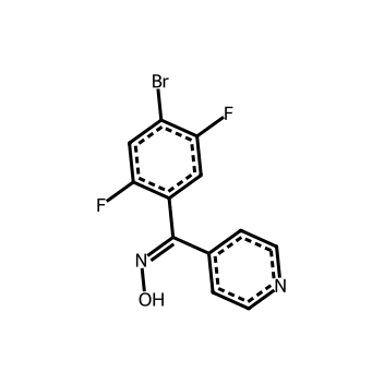 O/N=C(\c1ccncc1)c1cc(F)c(Br)cc1F